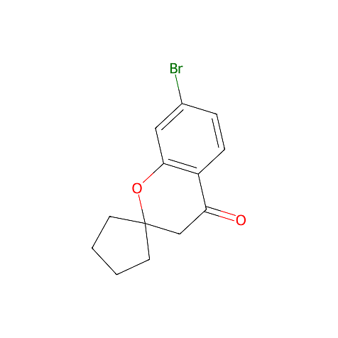 O=C1CC2(CCCC2)Oc2cc(Br)ccc21